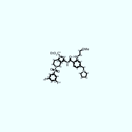 CCOC(=O)n1nc(NC(=O)c2ccc(CN3CCCC3)cc2NCCOC)c2c1CCN(S(=O)(=O)c1cc(F)cc(F)c1)C2